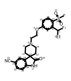 CCC(F)c1cc(OCCN2CCC3(CC2)C(=O)Nc2ccc(C#N)cc23)ccc1S(C)(=O)=O